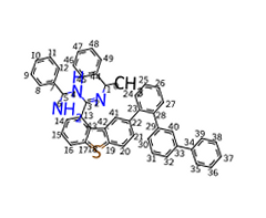 CC(/N=C(\NC(N)c1ccccc1)c1cccc2sc3ccc(-c4ccccc4-c4cccc(-c5ccccc5)c4)cc3c12)c1ccccc1